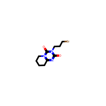 O=c1nc2n(c(=O)n1CCCBr)CCCC2